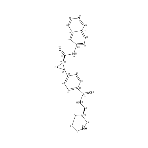 O=C(NC[C@@H]1CCCNC1)c1ccc(C2C[C@H]2C(=O)Nc2ccc3cnccc3c2)cc1